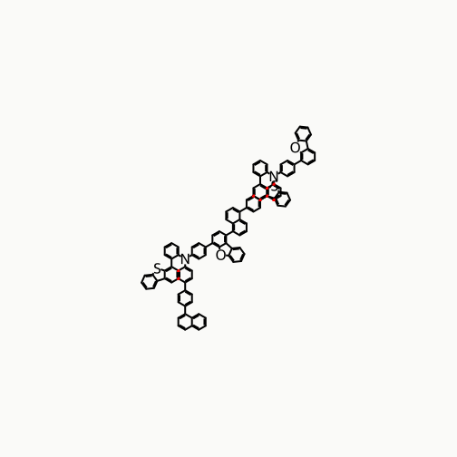 c1cc(-c2ccc(-c3cccc4c(-c5ccc(-c6ccc(N(c7ccc(-c8ccc(-c9cccc%10ccccc9%10)cc8)cc7)c7ccccc7-c7cccc8c7sc7ccccc78)cc6)c6oc7ccccc7c56)cccc34)cc2)cc(N(c2ccc(-c3cccc4c3oc3ccccc34)cc2)c2ccccc2-c2cccc3c2sc2ccccc23)c1